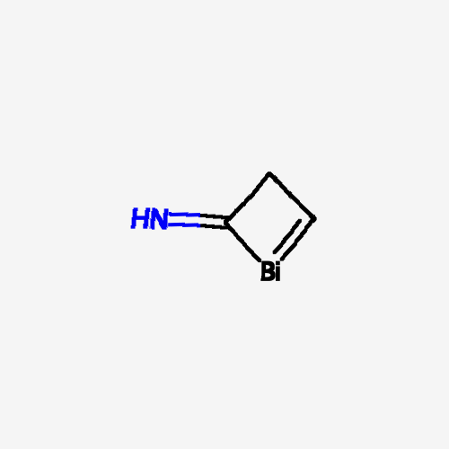 N=[C]1C[CH]=[Bi]1